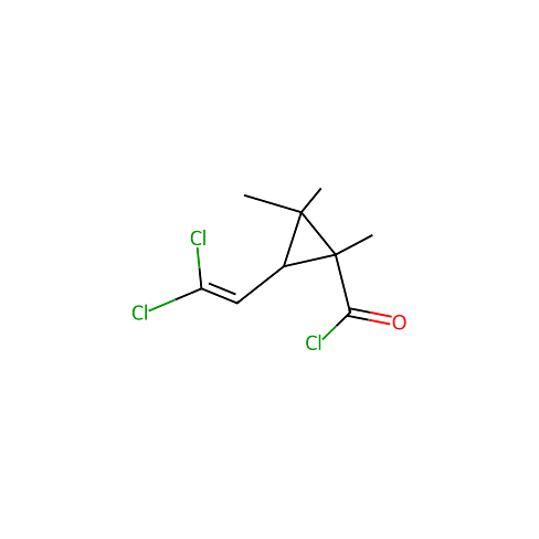 CC1(C)C(C=C(Cl)Cl)C1(C)C(=O)Cl